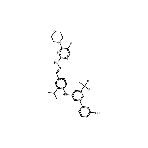 CC(C)c1cc(/C=N/Nc2ncc(F)c(N3CCOCC3)n2)ccc1Nc1cc(-c2cccc(O)c2)cc(C(F)(F)F)c1